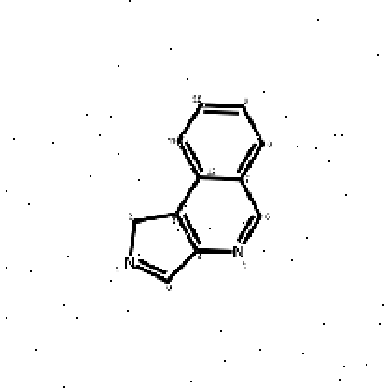 C1=NCc2c1ncc1ccccc21